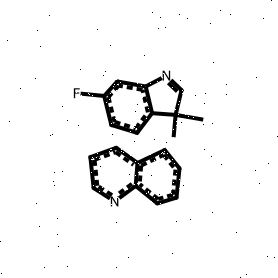 CC1(C)C=Nc2cc(F)ccc21.c1ccc2ncccc2c1